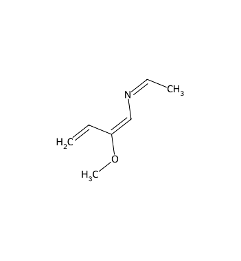 C=C/C(=C\N=C/C)OC